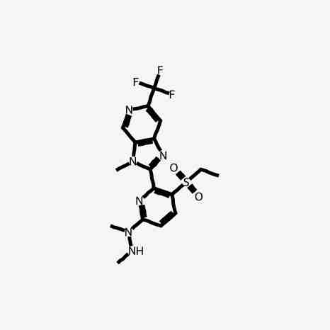 CCS(=O)(=O)c1ccc(N(C)NC)nc1-c1nc2cc(C(F)(F)F)ncc2n1C